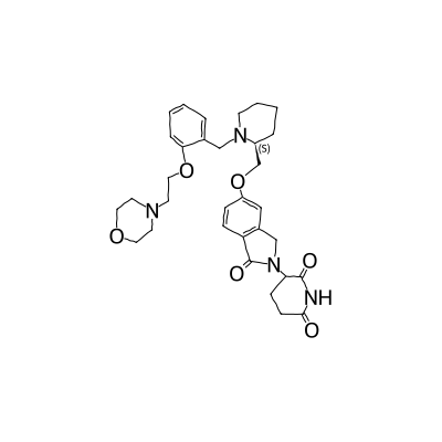 O=C1CCC(N2Cc3cc(OC[C@@H]4CCCCN4Cc4ccccc4OCCN4CCOCC4)ccc3C2=O)C(=O)N1